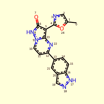 Cc1cnc(-c2c(=O)[nH]n3ccc(-c4ccc5[nH]ncc5c4)nc23)o1